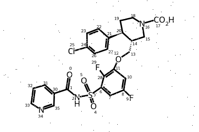 O=C(NS(=O)(=O)c1cc(F)cc(OC[C@H]2CN(C(=O)O)CC[C@@H]2c2ccc(Cl)cc2)c1F)c1cccnc1